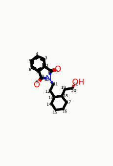 O=C1c2ccccc2C(=O)N1CCC1CCCCC1CCO